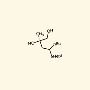 CCCCCCCC(CCCC)C[C@@](C)(O)CO